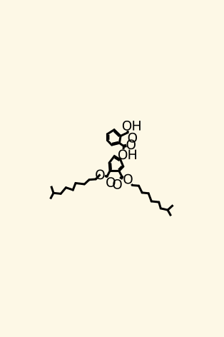 CC(C)CCCCCCCOC(=O)c1ccccc1C(=O)OCCCCCCCC(C)C.O=C(O)c1ccccc1C(=O)O